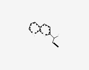 C=CC(F)c1ccc2cccnc2n1